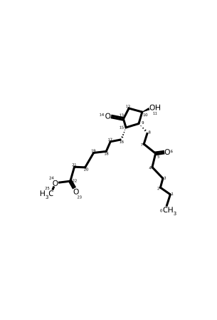 CCCCCC(=O)CC[C@H]1[C@H](O)CC(=O)[C@H]1CCCCCCC(=O)OC